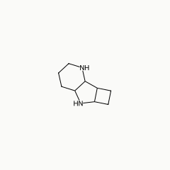 C1CNC2C(C1)NC1CCC12